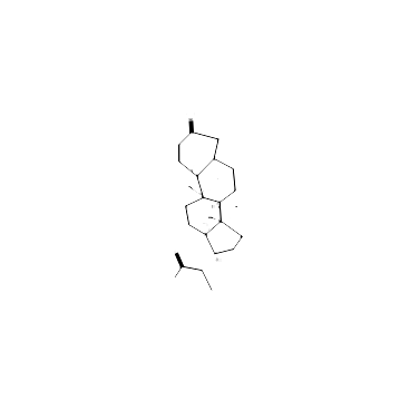 CC(C(=O)O)[C@H]1CC[C@H]2[C@@H]3CCC4CC(=O)CC[C@]4(C)[C@H]3CC[C@]12C